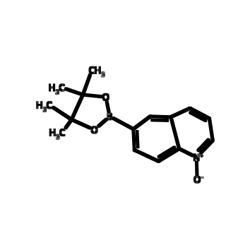 CC1(C)OB(c2ccc3c(ccc[n+]3[O-])c2)OC1(C)C